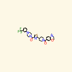 CN1CCOc2cc(C(=O)N3CCC(c4nc(C(=O)N5CCN(c6cccc(C(F)(F)F)c6)CC5)cs4)CC3)ccc21